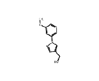 COc1cncc(-n2cc(CO)cn2)c1